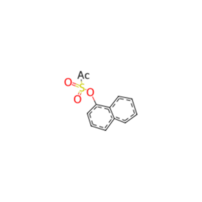 CC(=O)S(=O)(=O)Oc1cccc2ccccc12